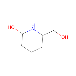 OCC1CCCC(O)N1